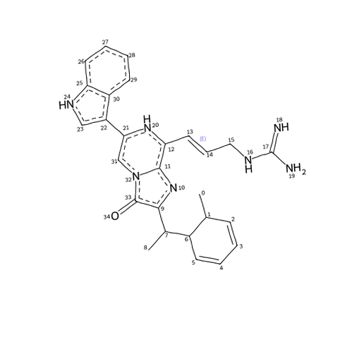 CC1C=CC=CC1C(C)c1nc2c(/C=C/CNC(=N)N)[nH]c(-c3c[nH]c4ccccc34)cn-2c1=O